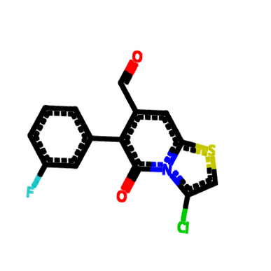 O=Cc1cc2scc(Cl)n2c(=O)c1-c1cccc(F)c1